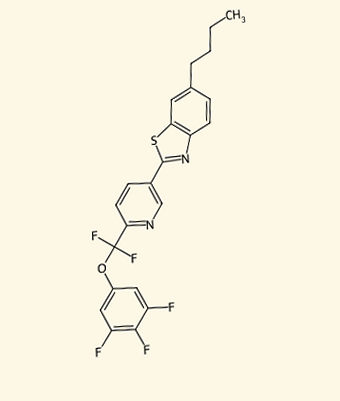 CCCCc1ccc2nc(-c3ccc(C(F)(F)Oc4cc(F)c(F)c(F)c4)nc3)sc2c1